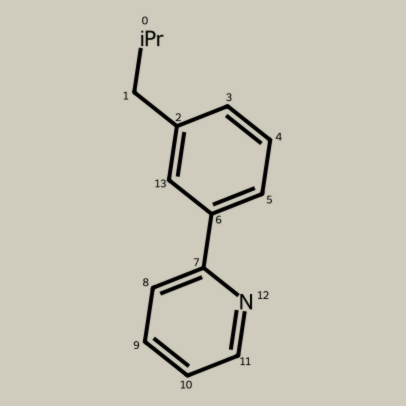 CC(C)Cc1cccc(-c2ccccn2)c1